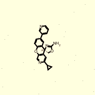 NC1=N[C@]2(CO1)c1cc(-c3cccnc3)ccc1Oc1cnc(C3CC3)cc12